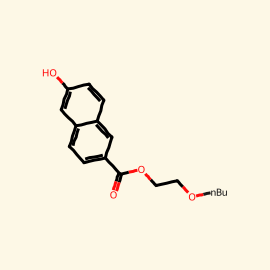 CCCCOCCOC(=O)c1ccc2cc(O)ccc2c1